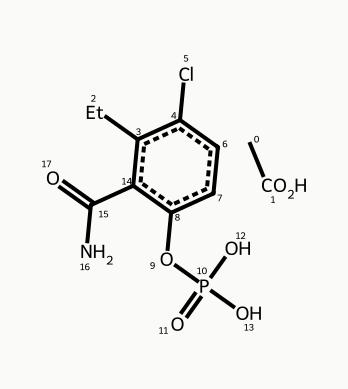 CC(=O)O.CCc1c(Cl)ccc(OP(=O)(O)O)c1C(N)=O